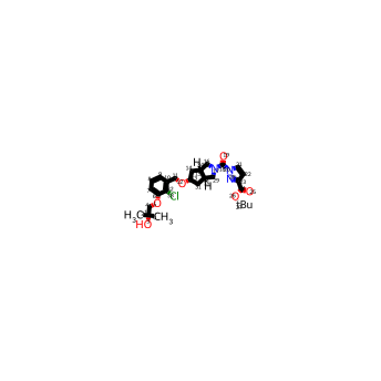 CC(C)(O)COc1cccc(COC2C[C@@H]3CN(C(=O)n4ccc(C(=O)OC(C)(C)C)n4)C[C@@H]3C2)c1Cl